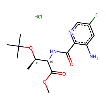 COC(=O)[C@@H](NC(=O)c1ncc(Cl)cc1N)[C@@H](C)OC(C)(C)C.Cl